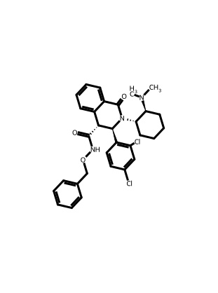 CN(C)[C@H]1CCCC[C@@H]1N1C(=O)c2ccccc2[C@@H](C(=O)NOCc2ccccc2)[C@@H]1c1ccc(Cl)cc1Cl